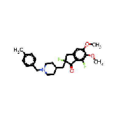 COc1cc2c(c(F)c1OC)C(=O)C(F)(CC1CCN(Cc3ccc(C)cc3)CC1)C2